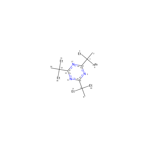 CCCC(C)(CC)c1nc(C(C)(CC)CC)nc(C(C)(CC)CC)n1